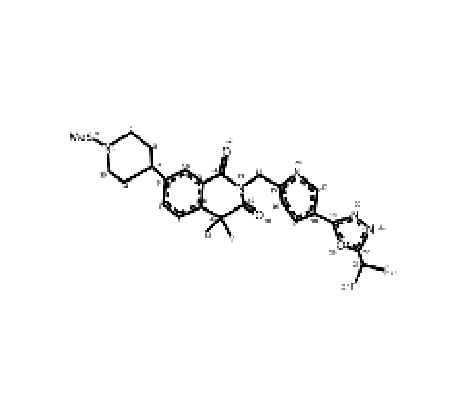 CSN1CCC(c2ccc3c(c2)C(=O)N(Cc2ccc(-c4nnc(C(F)F)o4)cn2)C(=O)C3(C)C)CC1